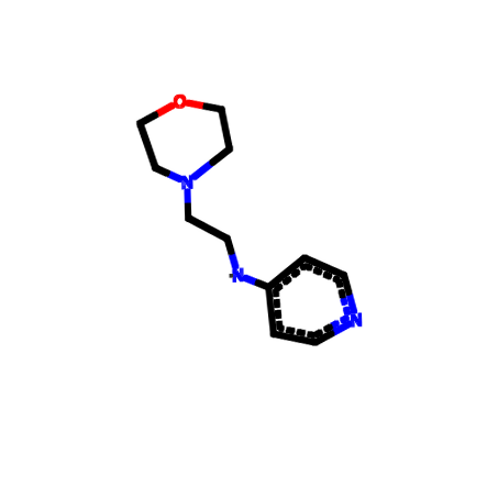 c1cc([N]CCN2CCOCC2)ccn1